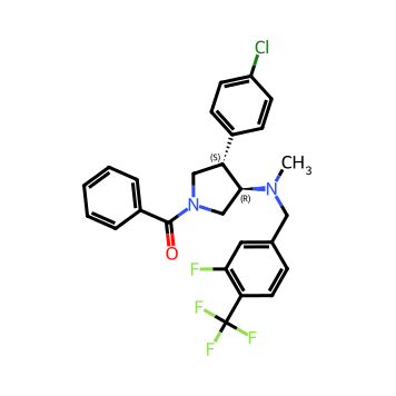 CN(Cc1ccc(C(F)(F)F)c(F)c1)[C@H]1CN(C(=O)c2ccccc2)C[C@@H]1c1ccc(Cl)cc1